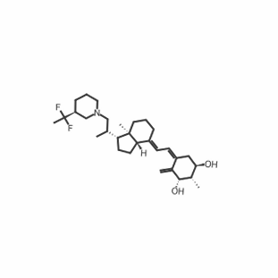 C=C1/C(=C\C=C2/CCC[C@]3(C)[C@@H](C(C)CN4CCC[C@H](C(C)(F)F)C4)CC[C@@H]23)C[C@@H](O)[C@H](C)[C@@H]1O